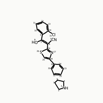 C1CCNC1.N#CC(=C(O)c1ccccc1Cl)c1nc(-c2ccccc2)cs1